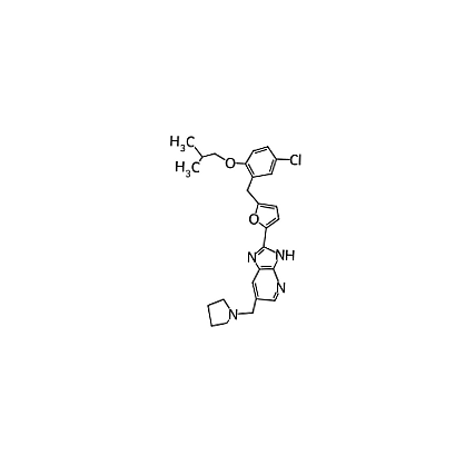 CC(C)COc1ccc(Cl)cc1Cc1ccc(-c2nc3cc(CN4CCCC4)cnc3[nH]2)o1